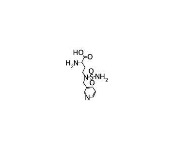 N[C@@H](CCN(Cc1cccnc1)S(N)(=O)=O)C(=O)O